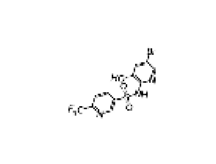 O=S(=O)(Nc1ncc(Br)cc1O)c1ccc(C(F)(F)F)nc1